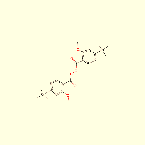 COc1cc([Si](C)(C)C)ccc1C(=O)OOC(=O)c1ccc([Si](C)(C)C)cc1OC